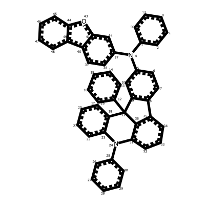 c1ccc(N(c2ccc3c(c2)C2(c4ccccc4)c4ccccc4N(c4ccccc4)c4cccc-3c42)c2ccc3c(c2)oc2ccccc23)cc1